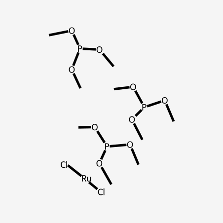 COP(OC)OC.COP(OC)OC.COP(OC)OC.[Cl][Ru][Cl]